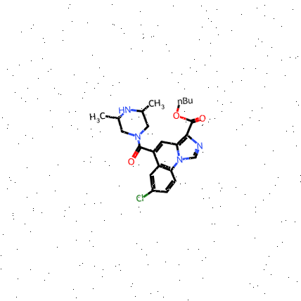 CCCCOC(=O)c1ncn2c1cc(C(=O)N1CC(C)NC(C)C1)c1cc(Cl)ccc12